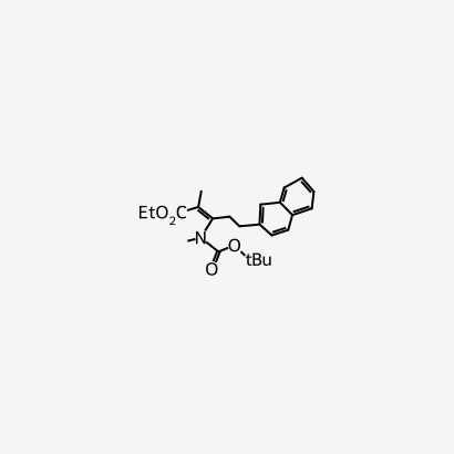 CCOC(=O)C(C)=C(CCc1ccc2ccccc2c1)N(C)C(=O)OC(C)(C)C